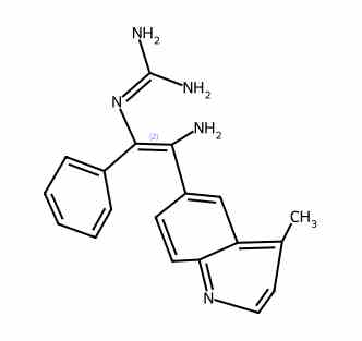 Cc1ccnc2ccc(/C(N)=C(/N=C(N)N)c3ccccc3)cc12